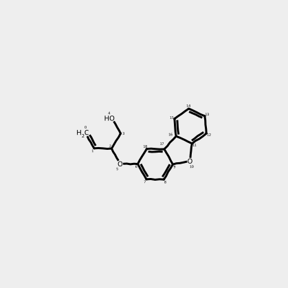 C=CC(CO)Oc1ccc2oc3ccccc3c2c1